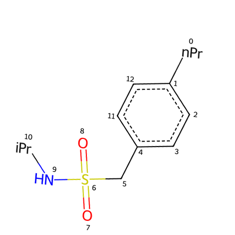 CCCc1ccc(CS(=O)(=O)NC(C)C)cc1